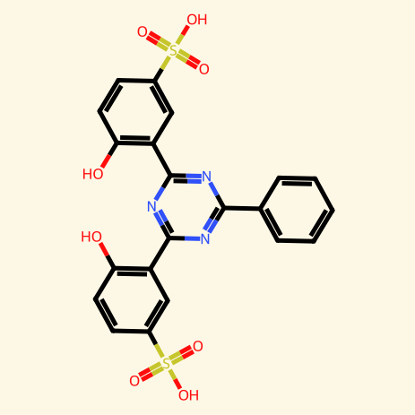 O=S(=O)(O)c1ccc(O)c(-c2nc(-c3ccccc3)nc(-c3cc(S(=O)(=O)O)ccc3O)n2)c1